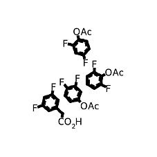 CC(=O)Oc1c(F)cccc1F.CC(=O)Oc1ccc(F)c(F)c1.CC(=O)Oc1ccc(F)cc1F.O=C(O)Cc1cc(F)cc(F)c1